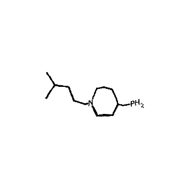 CC(C)CCN1CCC(P)CC1